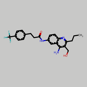 CCCc1nc2ccc(NC(=O)CCc3ccc(C(F)(F)F)cc3)cc2c(N)c1CO